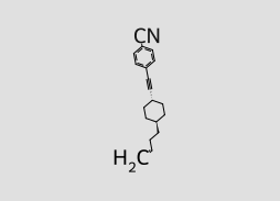 C=CCC[C@H]1CC[C@H](C#Cc2ccc(C#N)cc2)CC1